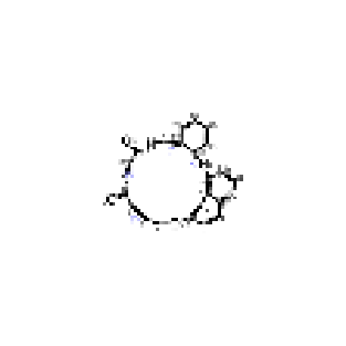 O=C1/C=C\COc2ccc3ncnc(c3c2)/N=c2/cccc/c2=C/NC(=O)/C=N\1